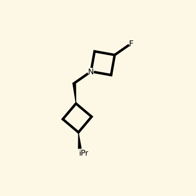 CC(C)[C@H]1C[C@@H](CN2CC(F)C2)C1